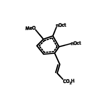 CCCCCCCCc1c(C=CC(=O)O)ccc(OC)c1CCCCCCCC